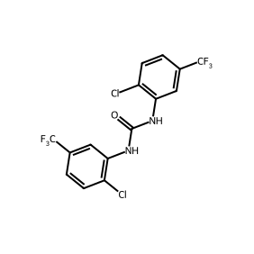 O=C(Nc1cc(C(F)(F)F)ccc1Cl)Nc1cc(C(F)(F)F)ccc1Cl